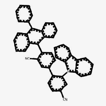 N#Cc1ccc(-c2ccc(-c3c4ccccc4c(-c4ccccc4)c4ccccc34)c(C#N)c2)c(-n2c3ccccc3c3ccccc32)c1